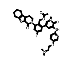 CC(=O)OCc1c(-c2cc(Nc3ccc(OCCN(C)C)cn3)c(=O)n(C)c2)cc(F)cc1N1CCc2c(sc3c2CCCC3)C1=O